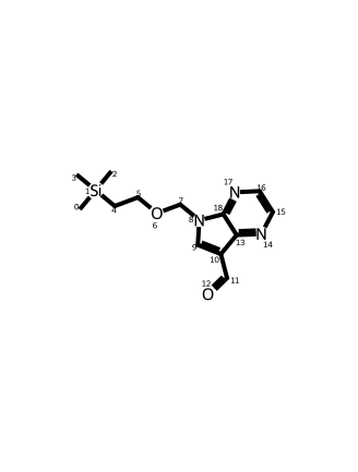 C[Si](C)(C)CCOCn1cc(C=O)c2nccnc21